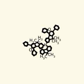 CC1(C)c2ccccc2-c2c(N(c3ccc4c(c3)C(C)(C)c3cc(-c5ccccc5)c5oc6ccccc6c5c3-4)c3ccc4c(c3)C(C)(C)c3cc(-c5ccccc5)c5oc6ccccc6c5c3-4)cccc21